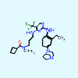 CCc1cc(N2CCN3CCC2C3)ccc1Nc1ncc(C(F)(F)F)c(NCCCN(C)C(=O)C2CCC2)n1